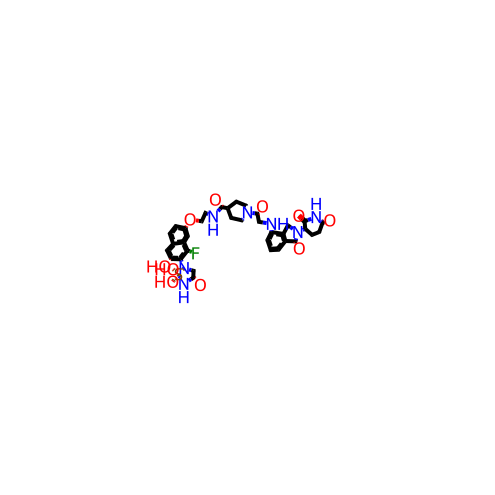 O=C1CCC(N2Cc3c(NCC(=O)N4CCC(C(=O)NCCOc5ccc6cc(O)c(N7CC(=O)NS7(O)O)c(F)c6c5)CC4)cccc3C2=O)C(=O)N1